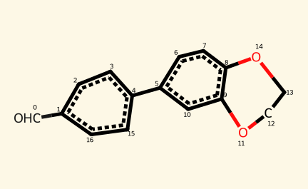 O=Cc1ccc(-c2ccc3c(c2)OCCO3)cc1